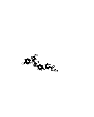 CNC(=O)c1cc(Sc2ccc(NC(=O)Nc3cc(C(C)(C)C)nn3-c3ccc(Cl)cc3)cc2)ccn1